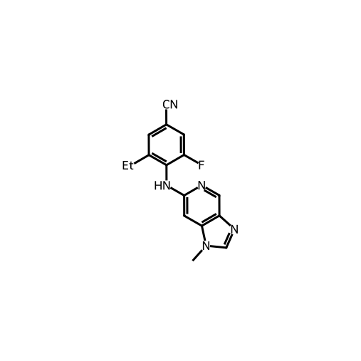 CCc1cc(C#N)cc(F)c1Nc1cc2c(cn1)ncn2C